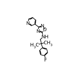 CC(C)(CNc1nc(-c2cccnc2)no1)c1ccc(F)cc1